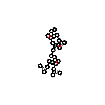 c1ccc(-c2ccc3ccccc3c2-c2c3cccc(-c4ccc5c(c4)c4ccccc4n5-c4ccccc4)c3cc3c(-c4ccc5c(c4)c4ccccc4n5-c4ccc(-c5cccc6c(-c7c8cccc(-c9ccc%10c%11ccccc%11n(-c%11ccccc%11)c%10c9)c8cc8c(-c9ccc%10c%11ccccc%11n(-c%11ccccc%11)c%10c9)cccc78)c(-c7ccccc7)ccc56)cc4)cccc23)cc1